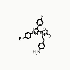 Nc1ccc(CCN2C(=O)CO[C@@H]2c2nn(-c3ccc(Br)cc3)nc2-c2ccc(F)cc2)cc1